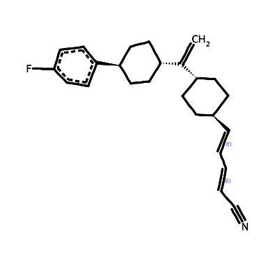 C=C([C@H]1CC[C@H](/C=C/C=C/C#N)CC1)[C@H]1CC[C@H](c2ccc(F)cc2)CC1